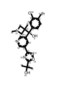 CC(C)c1ccc([C@](O)(c2cncc(-c3noc(C(C)(C)O)n3)c2)C2(C)CN(C)C2)cc1Cl